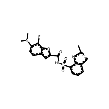 Cc1ccc2cccc(S(=O)(=O)NC(=O)c3cc4ccc(N(C)C)c(F)c4o3)c2n1